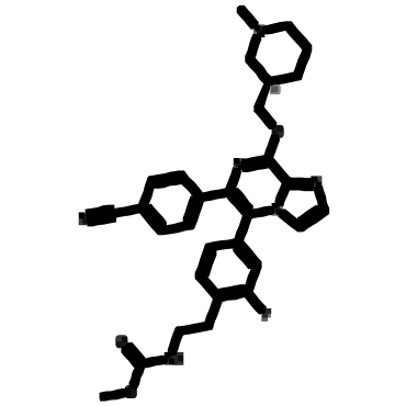 COC(=O)NCCc1ccc(-c2c(-c3ccc(C#N)cc3)nc(OC[C@@H]3CCCN(C)C3)c3nccn23)cc1F